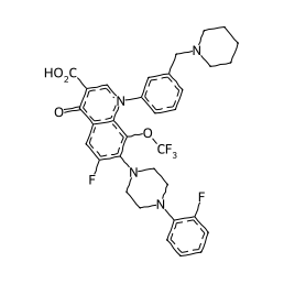 O=C(O)c1cn(-c2cccc(CN3CCCCC3)c2)c2c(OC(F)(F)F)c(N3CCN(c4ccccc4F)CC3)c(F)cc2c1=O